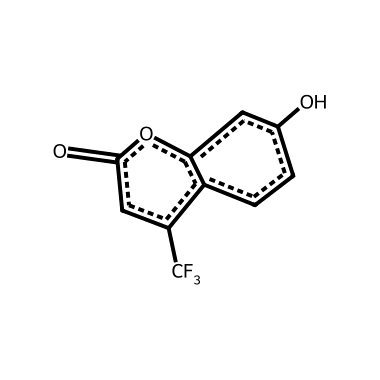 O=c1cc(C(F)(F)F)c2ccc(O)cc2o1